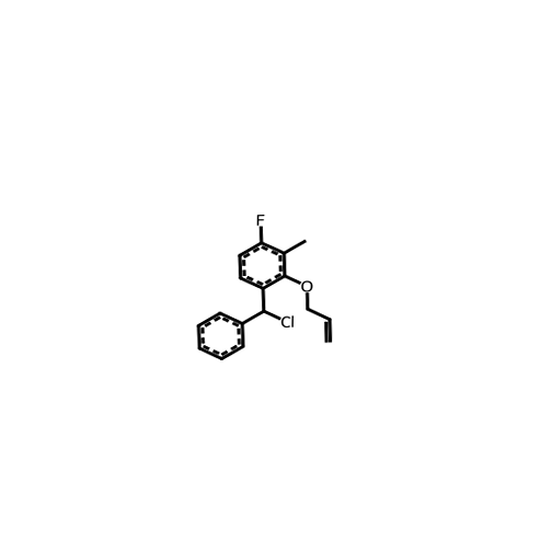 C=CCOc1c(C(Cl)c2ccccc2)ccc(F)c1C